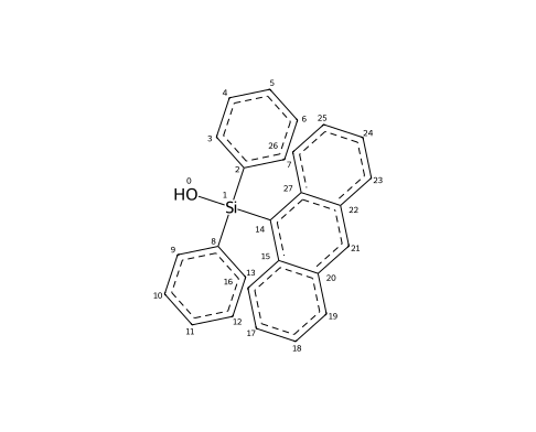 O[Si](c1ccccc1)(c1ccccc1)c1c2ccccc2cc2ccccc12